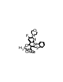 CON(C)C(=O)c1c(=O)c2cc(F)c(N3CCOCC3)nc2n2c1sc1ccccc12